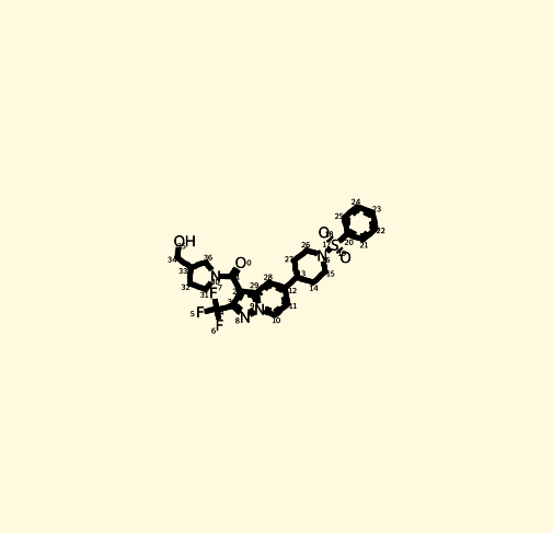 O=C(c1c(C(F)(F)F)nn2ccc(C3CCN(S(=O)(=O)c4ccccc4)CC3)cc12)N1CCC(CO)C1